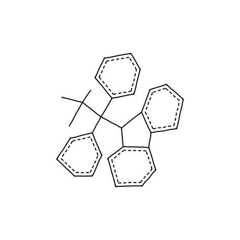 CC(C)(C)C(c1ccccc1)(c1ccccc1)C1c2ccccc2-c2ccccc21